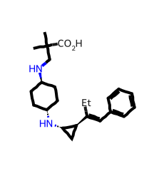 CC/C(=C\c1ccccc1)[C@H]1C[C@@H]1N[C@H]1CC[C@H](NCC(C)(C)C(=O)O)CC1